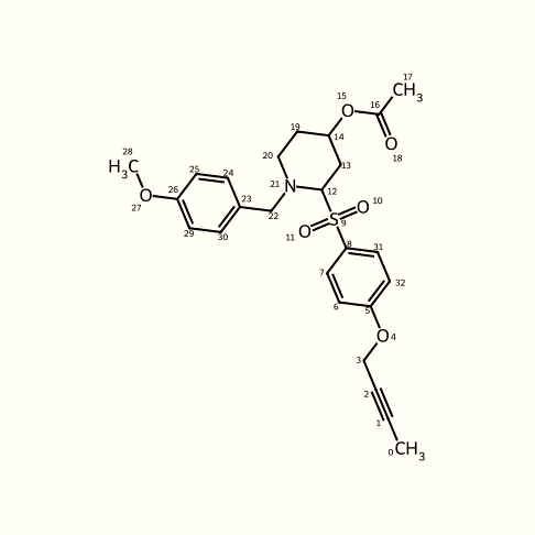 CC#CCOc1ccc(S(=O)(=O)C2CC(OC(C)=O)CCN2Cc2ccc(OC)cc2)cc1